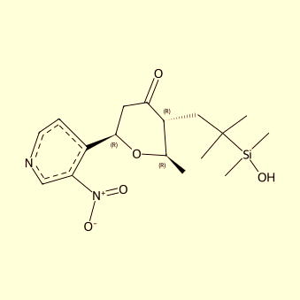 C[C@H]1O[C@@H](c2ccncc2[N+](=O)[O-])CC(=O)[C@@H]1CC(C)(C)[Si](C)(C)O